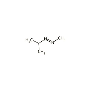 CN=NC(C)C